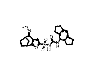 O=C(Nc1c2c(cc3c1CCC3)CCC2)NS(=O)(=O)c1cc2c(o1)C1CCC(C1)C2=NO